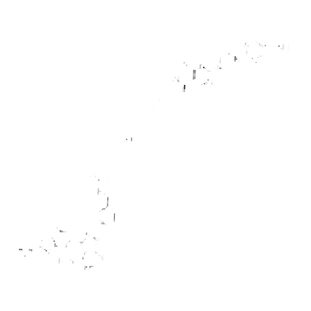 CN(CCOCCOCCOCCOCCC(=O)N1CCc2cc(Cn3nc(-c4cnc5oc(N)nc5c4)c4c(N)ncnc43)ccc2C1)C(=O)c1cnc(N2CCN(c3ncc(CN)cn3)CC2)nc1N